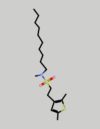 CCCCCCCCCCN(C)S(=O)(=O)CCc1cc(C)sc1C